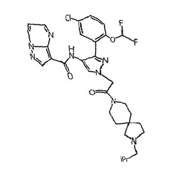 CC(C)CN1CCC2(CCN(C(=O)Cn3cc(NC(=O)c4cnn5cccnc45)c(-c4cc(Cl)ccc4OC(F)F)n3)CC2)C1